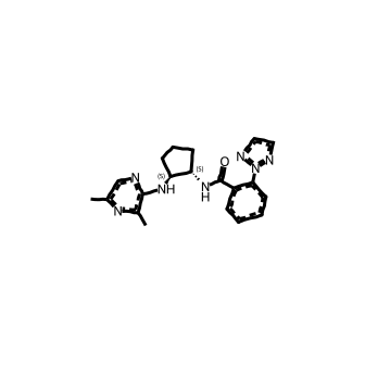 Cc1cnc(N[C@H]2CCC[C@@H]2NC(=O)c2ccccc2-n2nccn2)c(C)n1